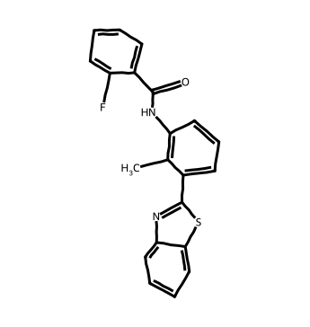 Cc1c(NC(=O)c2ccccc2F)cccc1-c1nc2ccccc2s1